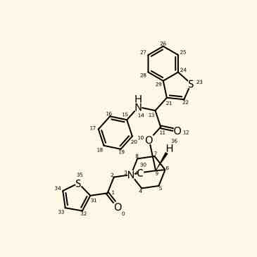 O=C(C[N+]12CCC(CC1)[C@@H](OC(=O)C(Nc1ccccc1)c1csc3ccccc13)C2)c1cccs1